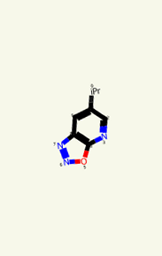 CC(C)c1cnc2onnc2c1